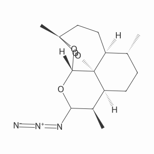 C[C@@H]1CC[C@H]2[C@@H](C)C(N=[N+]=[N-])O[C@@H]3O[C@@]4(C)CC[C@@H]1[C@]32OO4